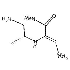 CNC(=O)/C(=C/N)N[C@H](C)CN